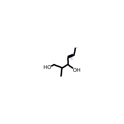 [CH2]/C=C/C(O)C(C)CO